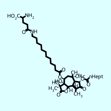 CCCCCCCC(=O)O[C@@H]1C(=O)C(C)=C2[C@H]1[C@@](C)(OC(C)=O)C[C@H](OC(=O)CCCCCCCCCCCNC(=O)CCC(N)C(=O)O)[C@@]1(O)[C@H]2OC(=O)[C@@]1(C)O